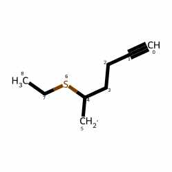 C#CCCC([CH2])SCC